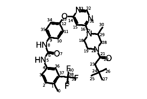 Cc1ccc(NC(=O)Nc2ccc(Oc3cc(N4CCN(C(=O)CC(C)(C)C)CC4C)ncn3)cc2)cc1C(F)(F)F